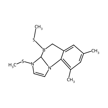 CSB1Cc2cc(C)cc(C)c2N2C=CN(SC)C12